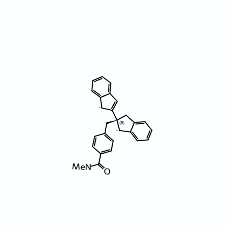 CNC(=O)c1ccc(C[C@]2(C3=Cc4ccccc4[CH]3)[CH]c3ccccc3C2)cc1